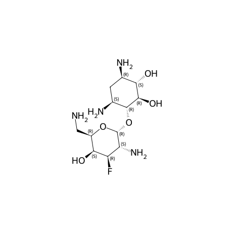 NC[C@H]1O[C@H](O[C@H]2[C@H](O)[C@@H](O)[C@H](N)C[C@@H]2N)[C@H](N)[C@@H](F)[C@H]1O